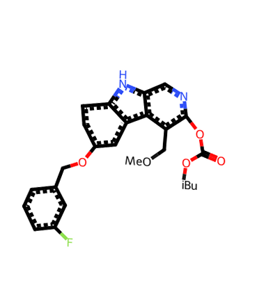 CCC(C)OC(=O)Oc1ncc2[nH]c3ccc(OCc4cccc(F)c4)cc3c2c1COC